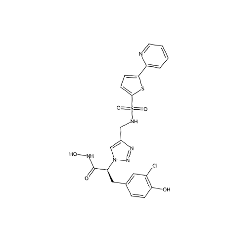 O=C(NO)[C@H](Cc1ccc(O)c(Cl)c1)n1cc(CNS(=O)(=O)c2ccc(-c3ccccn3)s2)nn1